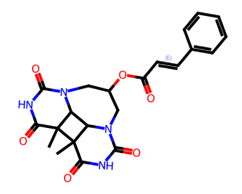 CC12C(=O)NC(=O)N3CC(OC(=O)/C=C/c4ccccc4)CN4C(=O)NC(=O)C1(C)C4C32